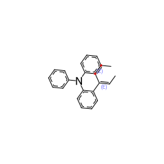 C/C=C\C(=C/C)c1ccccc1N(c1ccccc1)c1ccccc1